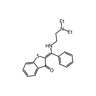 CCN(CC)CCNC(=C1Sc2ccccc2C1=O)c1ccccc1